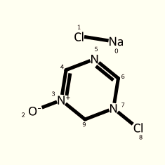 [Na][Cl].[O-][N+]1=CN=CN(Cl)C1